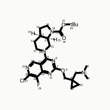 CN(C)CC1(COc2nc(N3CC[C@H]4CCN(C(=O)OC(C)(C)C)[C@H]4C3)c3cnc(Cl)c(F)c3n2)CC1